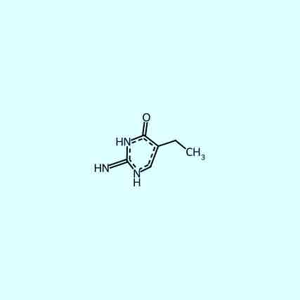 CCc1c[nH]c(=N)[nH]c1=O